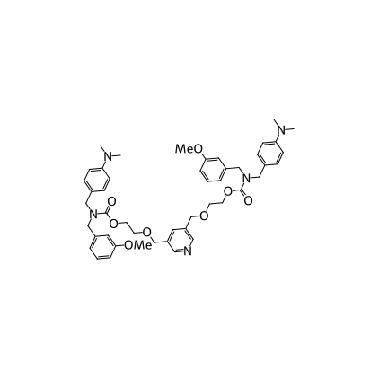 COc1cccc(CN(Cc2ccc(N(C)C)cc2)C(=O)OCCOCc2cncc(COCCOC(=O)N(Cc3ccc(N(C)C)cc3)Cc3cccc(OC)c3)c2)c1